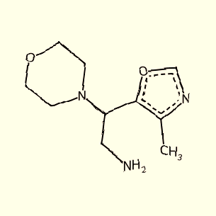 Cc1ncoc1C(CN)N1CCOCC1